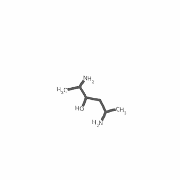 CC(N)CC(O)C(C)N